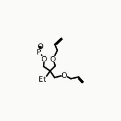 C=CCOCC(CC)(COCC=C)COP=O